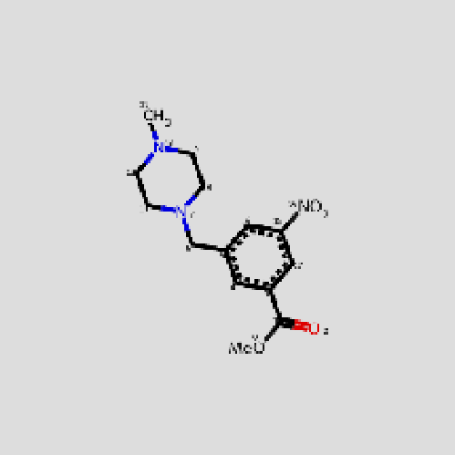 COC(=O)c1cc(CN2CCN(C)CC2)cc([N+](=O)[O-])c1